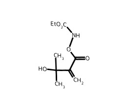 C=C(C(=O)ONC(=O)OCC)C(C)(C)O